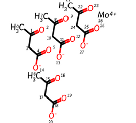 CC(=O)CC(=O)[O-].CC(=O)CC(=O)[O-].CC(=O)CC(=O)[O-].CC(=O)CC(=O)[O-].[Mo+4]